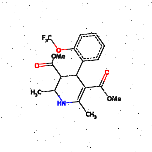 COC(=O)C1=C(C)NC(C)C(C(=O)OC)C1c1ccccc1OC(F)(F)F